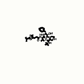 CC(C)c1nc(CCC(=O)N[C@H](C(=O)N[C@@H](Cc2ccccc2)[C@H](O)CN2CCNCC2C(=O)NC(C)(C)C)C(C)C)cs1